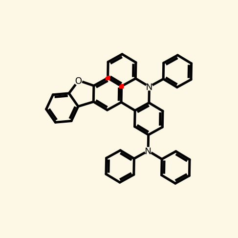 c1ccc(N(c2ccccc2)c2ccc(N(c3ccccc3)c3ccccc3)c(-c3ccc4oc5ccccc5c4c3)c2)cc1